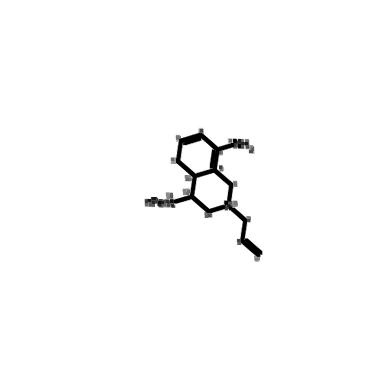 C=CCN1CC2=C(N)C=CCC2C(CCCCC)C1